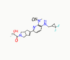 C[C@H](O)C(=O)N1CC2C=C(c3ccc(NCC4CC4(F)F)c(N(C)N=O)n3)CC2C1